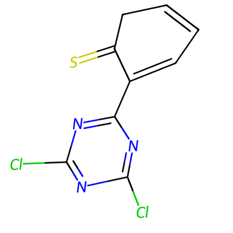 S=C1CC=CC=C1c1nc(Cl)nc(Cl)n1